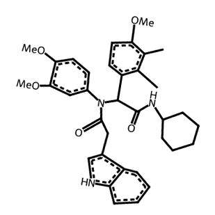 COc1ccc(N(C(=O)Cc2c[nH]c3ccccc23)C(C(=O)NC2CCCCC2)c2ccc(OC)c(C)c2C)cc1OC